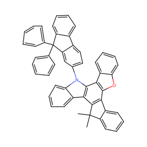 CC1(C)c2ccccc2-c2c1c1c3ccccc3n(-c3ccc4c(c3)C(c3ccccc3)(c3ccccc3)c3ccccc3-4)c1c1c2oc2ccccc21